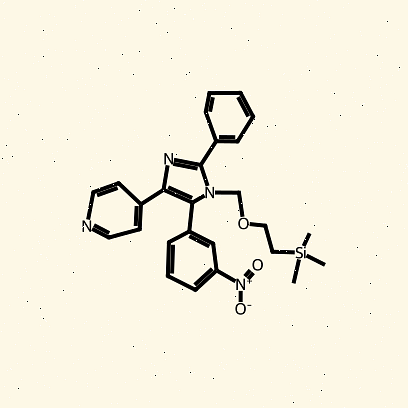 C[Si](C)(C)CCOCn1c(-c2ccccc2)nc(-c2ccncc2)c1-c1cccc([N+](=O)[O-])c1